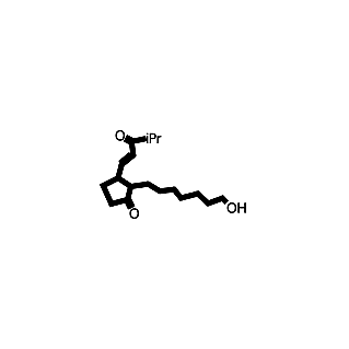 CC(C)C(=O)C=CC1CCC(=O)C1CCCCCCCO